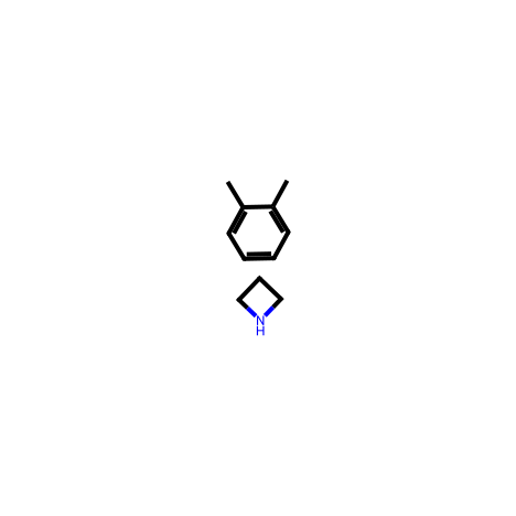 C1CNC1.Cc1ccccc1C